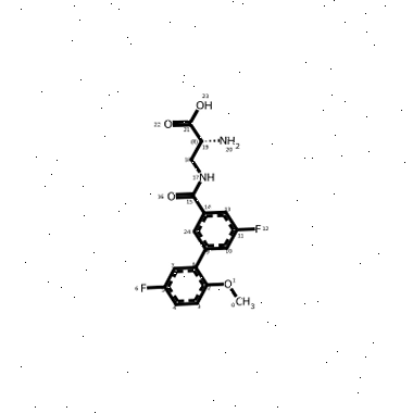 COc1ccc(F)cc1-c1cc(F)cc(C(=O)NC[C@@H](N)C(=O)O)c1